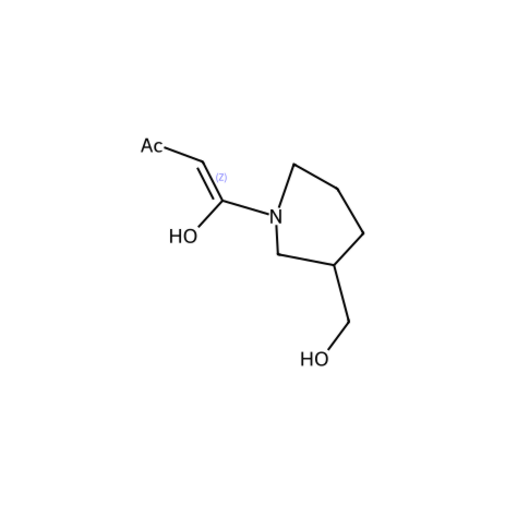 CC(=O)/C=C(\O)N1CCCC(CO)C1